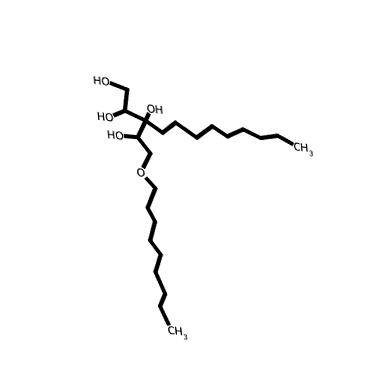 CCCCCCCCCOCC(O)C(O)(CCCCCCCCC)C(O)CO